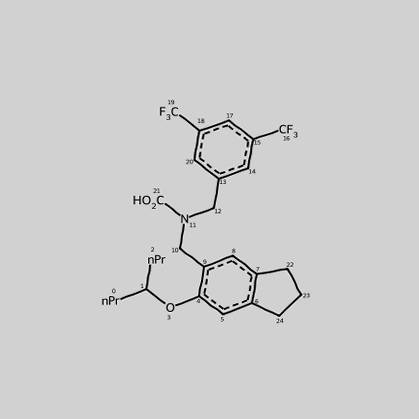 CCCC(CCC)Oc1cc2c(cc1CN(Cc1cc(C(F)(F)F)cc(C(F)(F)F)c1)C(=O)O)CCC2